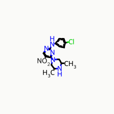 CC1CN(c2nc(Nc3ccc(Cl)cc3)ncc2[N+](=O)[O-])CC(C)N1